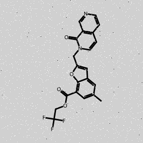 Cc1cc(C(=O)OCC(F)(F)F)c2oc(Cn3ccc4ccncc4c3=O)cc2c1